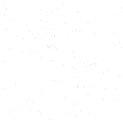 CC(OC(=O)c1cc(Oc2ccc(C(F)(F)F)cc2Cl)ccc1[N+](=O)[O-])C(=O)N=S(C)(=O)c1ccc(Cl)cc1